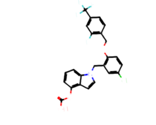 O=C(O)Oc1cccc2c1ccn2Cc1cc(Cl)ccc1OCc1ccc(C(F)(F)F)cc1F